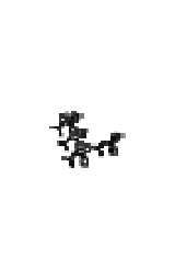 CC(C)CC(=O)[O-].CC(C)CC(=O)[O-].CC(C)CC(=O)[O-].CC(C)CC(=O)[O-].[Pb+4]